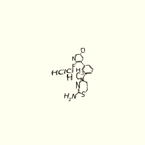 C[C@@]1(c2cccc(-c3cc(Cl)cnc3F)c2)CCSC(N)=N1.Cl.Cl